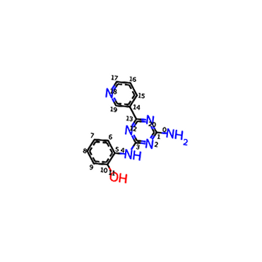 Nc1nc(Nc2ccccc2O)nc(-c2cccnc2)n1